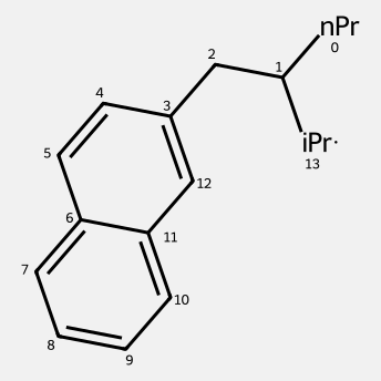 CCCC(Cc1ccc2ccccc2c1)[C](C)C